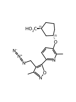 Cc1nc(-c2onc(C)c2CN=[N+]=[N-])ccc1O[C@H]1CCC[C@H](C(=O)O)C1